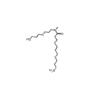 CN(CCCSCCCS)C(=O)CCSCCCSCCCN